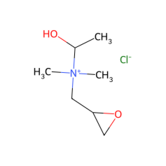 CC(O)[N+](C)(C)CC1CO1.[Cl-]